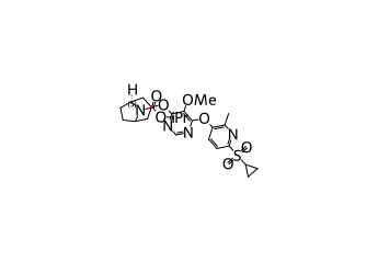 COc1c(Oc2ccc(S(=O)(=O)C3CC3)nc2C)ncnc1OC1CC2CC[C@@H](C1)N2C(=O)OC(C)C